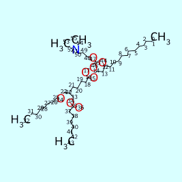 CCCCCCCCCCCCC(CCOC(=O)CCCCC(COCCCCCCCC)COC(=O)CCCCCCC)OC(=O)OCCCN(CC)CC